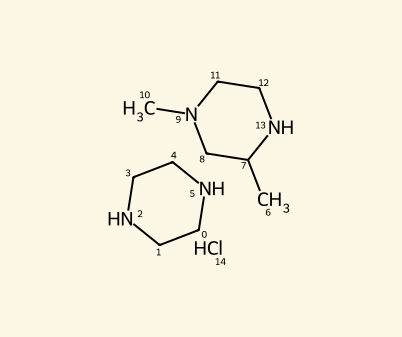 C1CNCCN1.CC1CN(C)CCN1.Cl